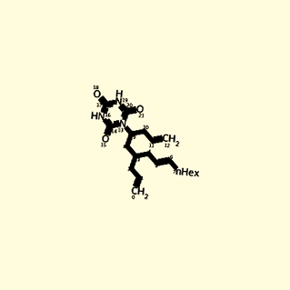 C=CCC(CC=CCCCCCC)CC(CC=C)n1c(=O)[nH]c(=O)[nH]c1=O